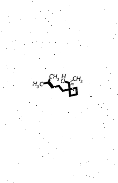 CC(C)=CCCC1([C@@H](C)O)CCC1